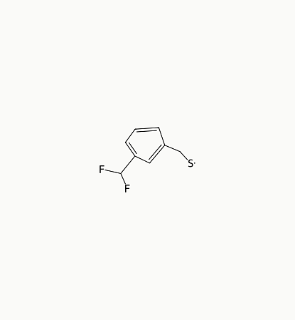 FC(F)c1cccc(C[S])c1